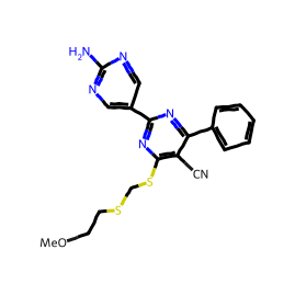 COCCSCSc1nc(-c2cnc(N)nc2)nc(-c2ccccc2)c1C#N